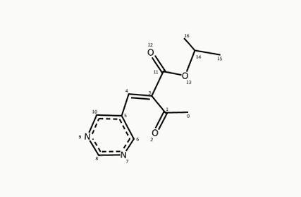 CC(=O)/C(=C\c1cncnc1)C(=O)OC(C)C